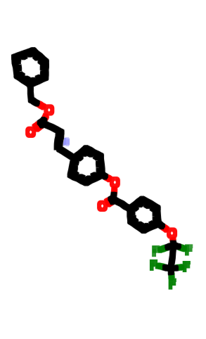 O=C(/C=C/c1ccc(OC(=O)c2ccc(OC(F)(F)C(F)(F)F)cc2)cc1)OCc1ccccc1